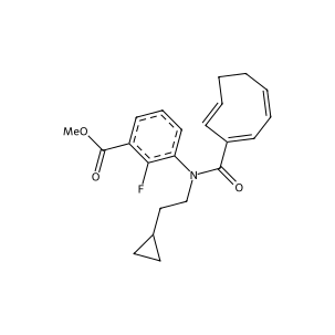 COC(=O)c1cccc(N(CCC2CC2)C(=O)C2=C/C=C\CC\C=C\2)c1F